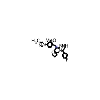 COc1cc(/C=C2\CC3(CCCO3)CN3C2=NNCC3c2ccc(F)cc2)ccc1-n1cnc(C)c1